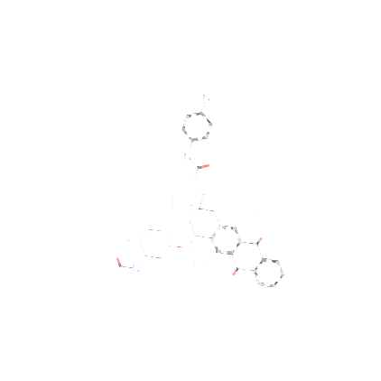 C[C@@H]1O[C@@H](O[C@H]2C[C@](O)(COC(=O)Nc3ccc([N+](=O)[O-])cc3)Cc3c(O)c4c(c(O)c32)C(=O)c2ccccc2C4=O)C[C@H](NC(=O)C(F)(F)F)[C@@H]1O